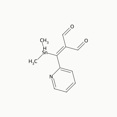 [CH3][SnH]([CH3])[C](=C(C=O)C=O)c1ccccn1